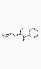 C=C/C=C(\CC)Nc1ccccc1